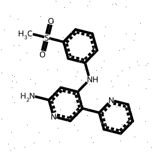 CS(=O)(=O)c1cccc(Nc2cc(N)ncc2-c2ccccn2)c1